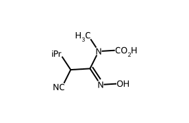 CC(C)C(C#N)C(=NO)N(C)C(=O)O